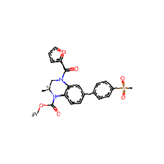 CC(C)OC(=O)N1c2ccc(-c3ccc(S(C)(=O)=O)cc3)cc2N(C(=O)c2ccco2)C[C@@H]1C